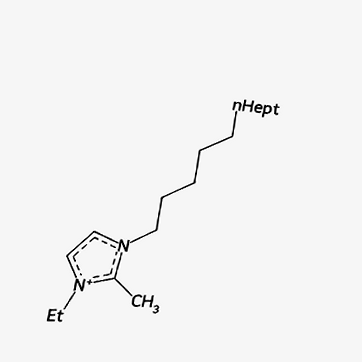 CCCCCCCCCCCCn1cc[n+](CC)c1C